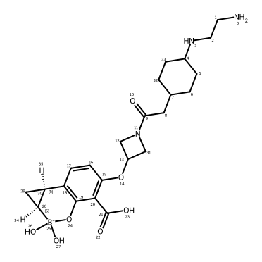 NCCNC1CCC(CC(=O)N2CC(Oc3ccc4c(c3C(=O)O)O[B-](O)(O)[C@H]3C[C@@H]43)C2)CC1